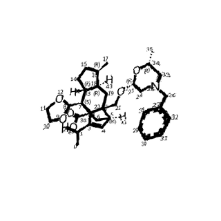 CC(C)C1=C[C@H]2C[C@]3(C4OCCO4)[C@@H]4CC[C@@H](C)[C@H]4C[C@@]2(CO[C@H]2CN(Cc4ccccc4)C[C@@H](C)O2)[C@]13C(=O)O